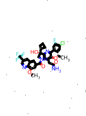 CCOc1c(CC(N)=O)cc([C@@](O)(CNC(=O)c2cc(OC)c3ncc(C(F)(F)F)cc3c2)C2CCC2)nc1-c1ccc(Cl)c(F)c1